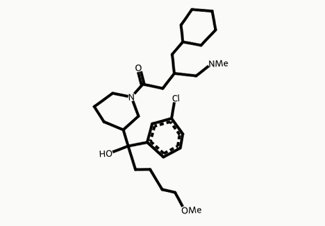 CNCC(CC(=O)N1CCCC(C(O)(CCCCOC)c2cccc(Cl)c2)C1)CC1CCCCC1